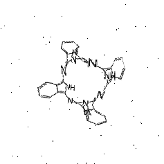 c1ccc2c3[nH]c(c2c1)/N=c1\[nH]/c(c2ccccc12)=N\c1[nH]c(c2ccccc12)/N=c1\[nH]/c(c2ccccc12)=N\3